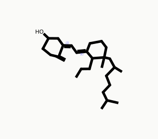 C=C1CCC(O)C/C1=C/C=C1\CCCC(C)(CC(C)CCCC(C)C)C1CCC